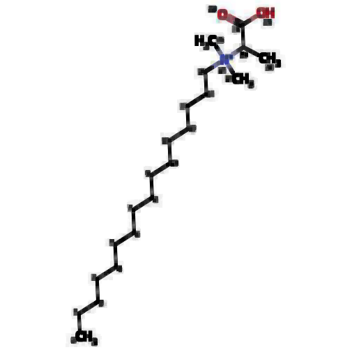 CCCCCCCCCCCCCCCC[N+](C)(C)C(C)C(=O)O